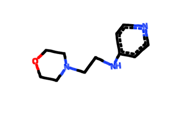 c1cc(NCCN2CCOCC2)ccn1